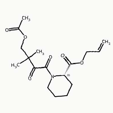 C=CCOC(=O)[C@@H]1CCCCN1C(=O)C(=O)C(C)(C)COC(C)=O